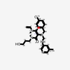 C=CN(C)/C(N=C)=C(\C(=O)N(C)CCCO)N(CNc1cncc(C)c1)Cc1ccc(Cl)cc1